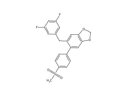 CS(=O)(=O)c1ccc(-c2cc3c(cc2Cc2cc(F)cc(F)c2)OCO3)cc1